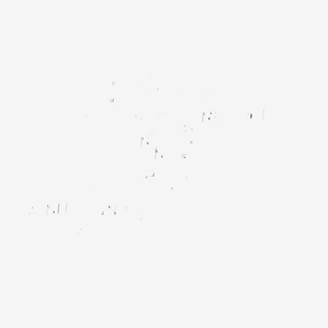 CC(=O)NC1CCN(c2ccc(C(F)(F)F)c(-n3nc(-c4cc(C)cc(C)c4)c4ccn(CCO)c4c3=O)c2)C1